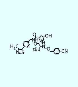 Cc1ncsc1-c1ccc(CNC(=O)[C@@H]2C[C@@H](O)CN2C(=O)[C@@H](NCOCc2ccc(C#N)cc2)C(C)(C)C)cc1